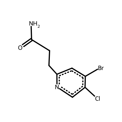 NC(=O)CCc1cc(Br)c(Cl)cn1